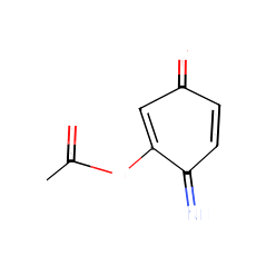 CC(=O)OC1=CC(=O)C=CC1=N